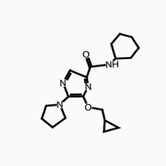 O=C(NC1CCCCC1)c1cnc(N2CCCC2)c(OCC2CC2)n1